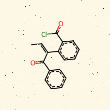 CC=C(C(=O)c1ccccc1)c1ccccc1C(=O)Cl